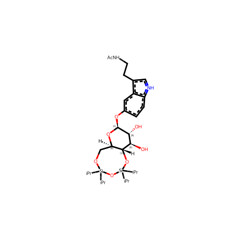 CC(=O)NCCc1c[nH]c2ccc(O[C@@H]3O[C@@H]4CO[Si](C(C)C)(C(C)C)O[Si](C(C)C)(C(C)C)O[C@H]4[C@H](O)[C@H]3O)cc12